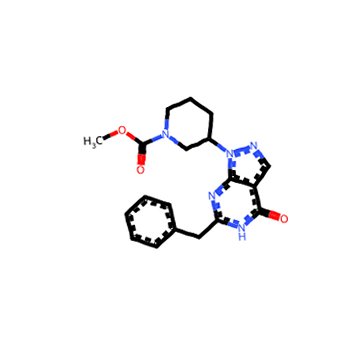 COC(=O)N1CCCC(n2ncc3c(=O)[nH]c(Cc4ccccc4)nc32)C1